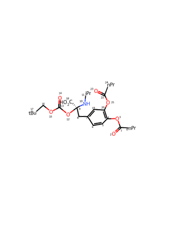 CCCC(=O)Oc1ccc(C[C@](NC(C)C)(OC(=O)OCC(C)(C)C)C(=O)O)cc1OC(=O)CCC